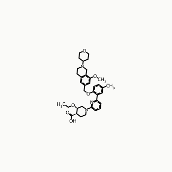 CCO[C@H]1CN(c2cccc(-c3cc(C)ccc3OCc3cc4c(c(OC)c3)CN(C3CCOCC3)CC4)n2)CC[C@H]1C(=O)O